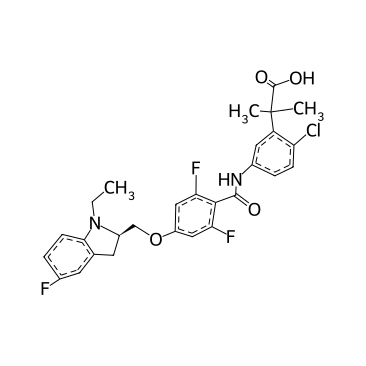 CCN1c2ccc(F)cc2C[C@@H]1COc1cc(F)c(C(=O)Nc2ccc(Cl)c(C(C)(C)C(=O)O)c2)c(F)c1